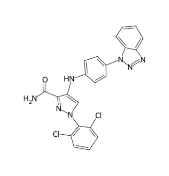 NC(=O)c1nn(-c2c(Cl)cccc2Cl)cc1Nc1ccc(-n2nnc3ccccc32)cc1